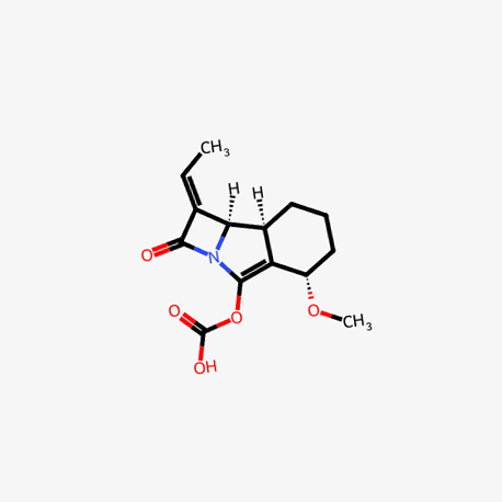 C/C=C1/C(=O)N2C(OC(=O)O)=C3[C@@H](OC)CCC[C@@H]3[C@H]12